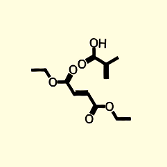 C=C(C)C(=O)O.CCOC(=O)C=CC(=O)OCC